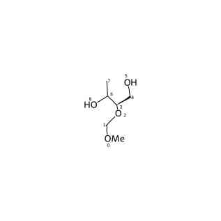 COCO[C@H](CO)C(C)O